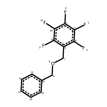 Fc1c(F)c(F)c(CO[CH]c2ccccc2)c(F)c1F